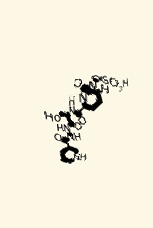 O=C(NNC(=O)[C@@H]1CCCNC1)C(CO)NC(=O)[C@@H]1CC[C@@H]2CN1C(=O)N2OS(=O)(=O)O